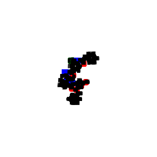 C[C@H](NC(=O)c1ccc(NC(=O)Cc2ccccc2)c(Cl)c1)C(=O)N1CCC[C@H]1C(=O)N[C@H]1CC(=O)OC1OCc1ccccc1